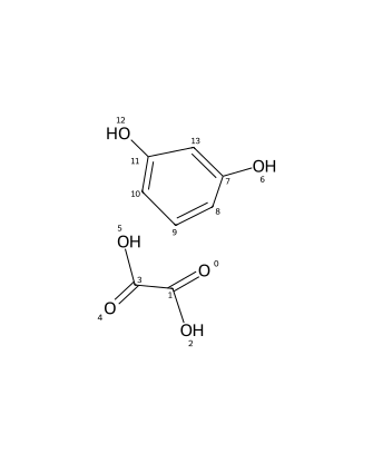 O=C(O)C(=O)O.Oc1cccc(O)c1